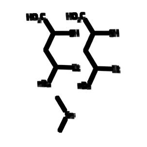 CCCCC(CC)CC(S)C(=O)O.CCCCC(CC)CC(S)C(=O)O.[CH3][Sn][CH3]